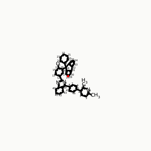 Cc1ccc(-c2ccc(-c3nc(-c4ccc5c(c4)C4(c6ccccc6O5)c5ccccc5-c5ccccc54)nc4ccccc34)cc2)c(C)n1